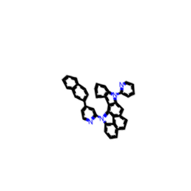 c1ccc(-n2c3ccccc3c3c2cc2ccc4cccc5c4c2c3n5-c2cc(-c3ccc4ccccc4c3)ccn2)nc1